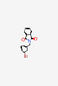 O=C1c2ccccc2C(=O)N1CC1=CC=C[C](Br)C1